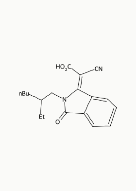 CCCCC(CC)CN1C(=O)c2ccccc2C1=C(C#N)C(=O)O